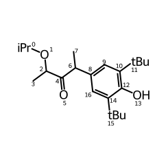 CC(C)OC(C)C(=O)C(C)c1cc(C(C)(C)C)c(O)c(C(C)(C)C)c1